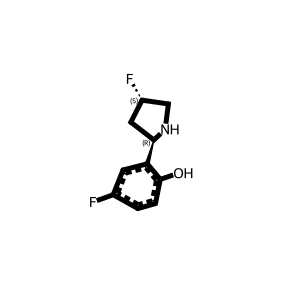 Oc1ccc(F)cc1[C@H]1C[C@H](F)CN1